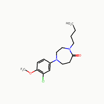 O=C(O)CCCN1CCN(c2ccc(OC(F)(F)F)c(Cl)c2)CCC1=O